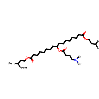 CCCCCC(CCCCC)CCOC(=O)CCCCCCCC(CCCCCCCC(=O)OCCC(CCCCC)CCCCC)OC(=O)CCCN(C(C)C)C(C)C